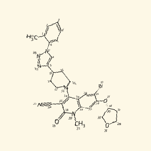 Cc1ccccc1-n1cc(C2CCN(c3c(C#N)c(=O)n(C)c4cc(O[C@@H]5CCOC5)c(Br)cc34)CC2)nn1